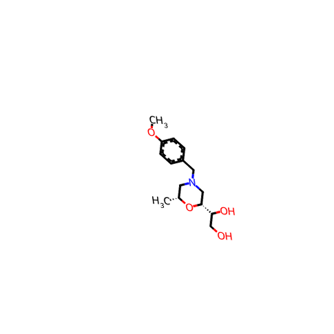 COc1ccc(CN2C[C@@H](C)O[C@@H](C(O)CO)C2)cc1